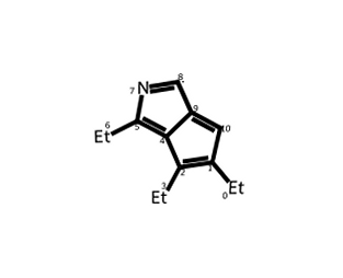 CCC1=C(CC)C2=C(CC)N=[C]C2=C1